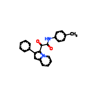 Cc1ccc(NC(=O)C(=O)c2c(-c3ccccc3)cc3ccccn23)cc1